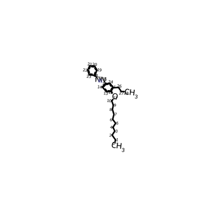 CCCCCCCCCCCOc1ccc(/N=N/c2ccccc2)cc1CCC